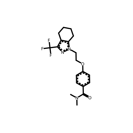 CN(C)C(=O)c1ccc(OCCn2nc(C(F)(F)F)c3c2CCCC3)cc1